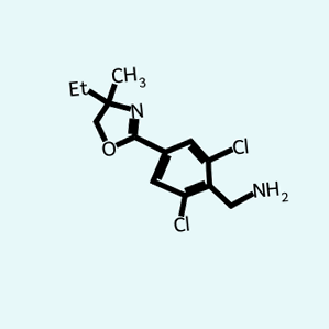 CCC1(C)COC(c2cc(Cl)c(CN)c(Cl)c2)=N1